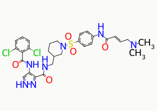 CN(C)C/C=C/C(=O)Nc1ccc(S(=O)(=O)N2CCCC(CNC(=O)c3n[nH]cc3NC(=O)c3c(Cl)cccc3Cl)C2)cc1